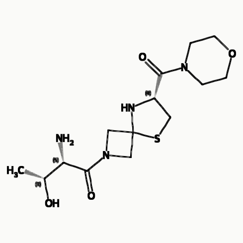 C[C@@H](O)[C@H](N)C(=O)N1CC2(C1)N[C@H](C(=O)N1CCOCC1)CS2